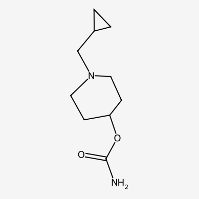 NC(=O)OC1CCN(CC2CC2)CC1